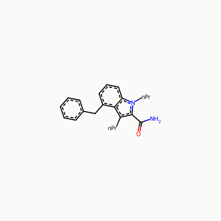 CCCc1c(C(N)=O)n(CCC)c2cccc(Cc3ccccc3)c12